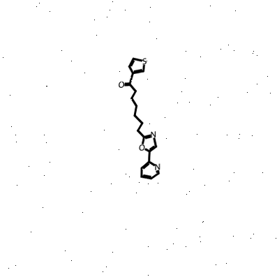 O=C(CCCCCCc1ncc(-c2ccccn2)o1)c1ccsc1